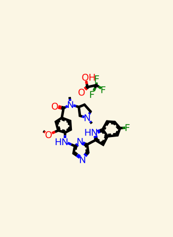 COc1cc(C(=O)N(C)C2CCN(C)C2)ccc1Nc1cncc(-c2cc3cc(F)ccc3[nH]2)n1.O=C(O)C(F)(F)F